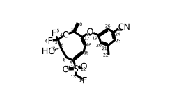 C=C1CC(F)(F)[C@@H](O)C/C(S(=O)(=O)CF)=C\C=C/1Oc1cc(C)cc(C#N)c1